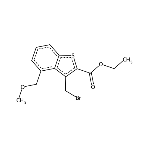 CCOC(=O)c1sc2cccc(COC)c2c1CBr